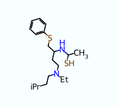 CCN(CCC(C)C)CCC(CSc1ccccc1)NC(C)S